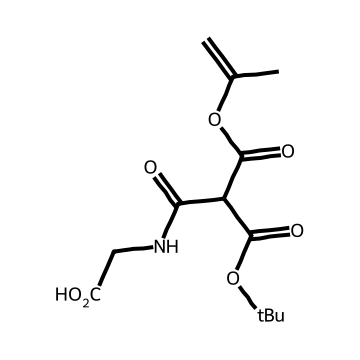 C=C(C)OC(=O)C(C(=O)NCC(=O)O)C(=O)OC(C)(C)C